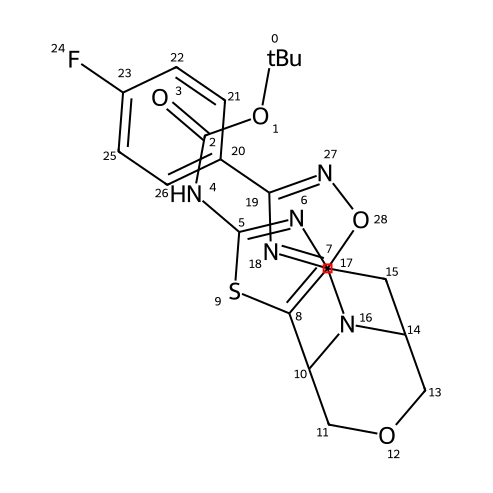 CC(C)(C)OC(=O)Nc1nc2c(s1)C1COCC(C2)N1c1nc(-c2ccc(F)cc2)no1